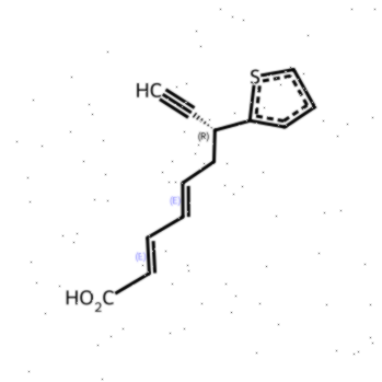 C#C[C@@H](C/C=C/C=C/C(=O)O)c1cccs1